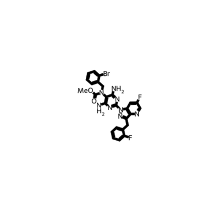 COC(=O)N(Cc1ccccc1Br)c1c(N)nc(-n2nc(Cc3ccccc3F)c3ncc(F)cc32)nc1N